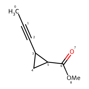 CC#CC1CC1C(=O)OC